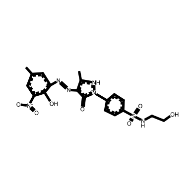 Cc1cc(N=Nc2c(C)[nH]n(-c3ccc(S(=O)(=O)NCCO)cc3)c2=O)c(O)c([N+](=O)[O-])c1